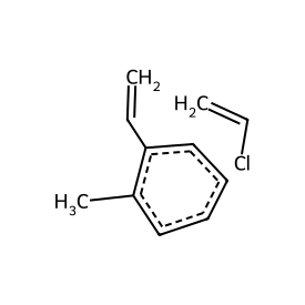 C=CCl.C=Cc1ccccc1C